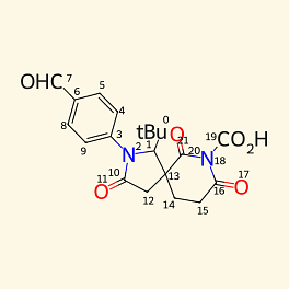 CC(C)(C)C1N(c2ccc(C=O)cc2)C(=O)CC12CCC(=O)N(C(=O)O)C2=O